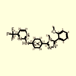 COc1ccccc1-c1nnc(C23CCC(Nc4nccc(C(F)(F)F)n4)(CC2)CC3)n1C